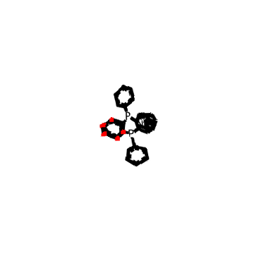 c1ccc(P(c2ccccc2)[C]23[CH]4[CH]5[CH]6[C]2(P(c2ccccc2)c2ccccc2)[Ni]54632789[CH]3[CH]2[CH]7[CH]8[CH]39)cc1